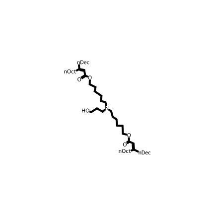 CCCCCCCCCCC(=CC(=O)OCCCCCCN(CCCO)CCCCCCOC(=O)/C=C(\CCCCCCCC)CCCCCCCCCC)CCCCCCCC